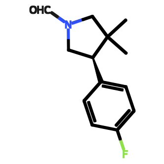 CC1(C)CN(C=O)C[C@@H]1c1ccc(F)cc1